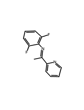 CC(=Nc1c(F)cccc1F)c1ccccn1